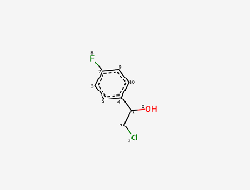 OC(CCl)c1ccc(F)cc1